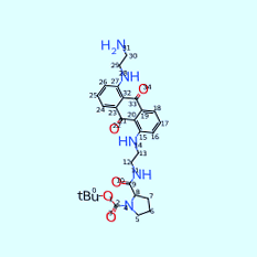 CC(C)(C)OC(=O)N1CCCC1C(=O)NCCNc1cccc2c1C(=O)c1cccc(NCCN)c1C2=O